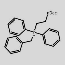 CCCCCCCCCCCC[PH](Cc1ccccc1)(c1ccccc1)c1ccccc1